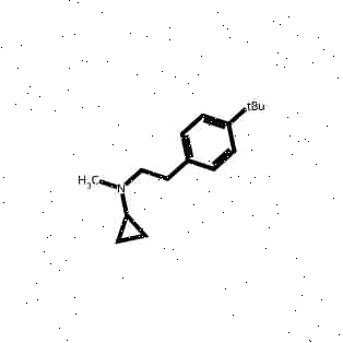 CN(CCc1ccc(C(C)(C)C)cc1)C1CC1